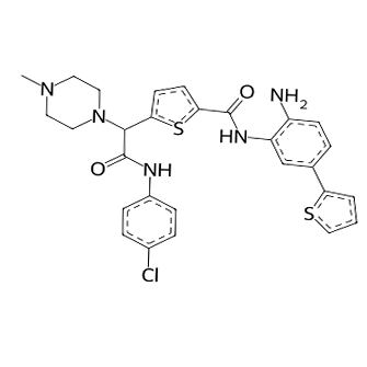 CN1CCN(C(C(=O)Nc2ccc(Cl)cc2)c2ccc(C(=O)Nc3cc(-c4cccs4)ccc3N)s2)CC1